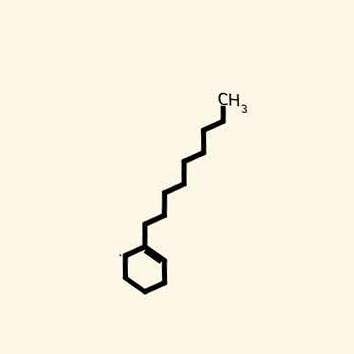 CCCCCCCCCC1=CCCC[CH]1